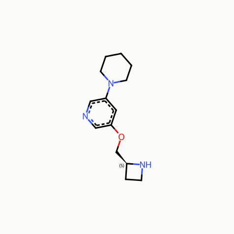 c1ncc(N2CCCCC2)cc1OC[C@@H]1CCN1